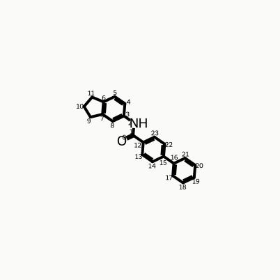 O=C(Nc1ccc2c(c1)CCC2)c1ccc(-c2ccccc2)cc1